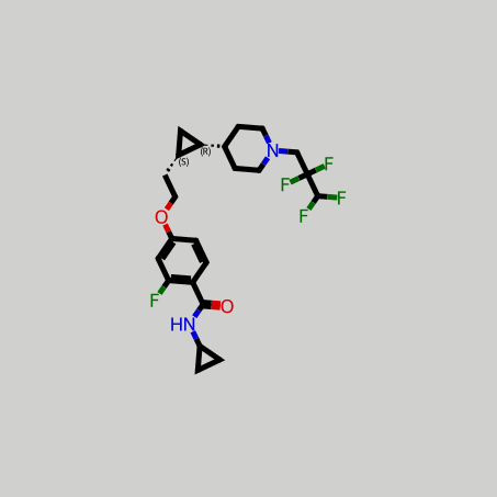 O=C(NC1CC1)c1ccc(OCC[C@@H]2C[C@@H]2C2CCN(CC(F)(F)C(F)F)CC2)cc1F